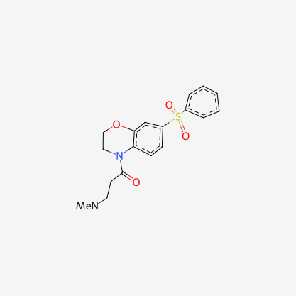 CNCCC(=O)N1CCOc2cc(S(=O)(=O)c3ccccc3)ccc21